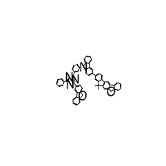 CC1(C)c2cc(-c3ccc4c(c3)c3ccccc3n4-c3cccc(-c4nc(-c5ccccc5)nc(-c5ccc6oc7ccccc7c6c5)n4)c3)ccc2-c2cc3c(cc21)oc1ccccc13